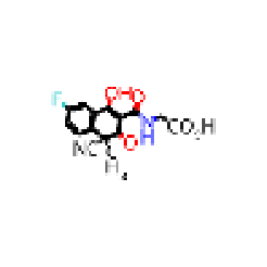 C[C@@]1(C#N)C(=O)C(C(=O)NCC(=O)O)=C(O)c2cc(F)ccc21